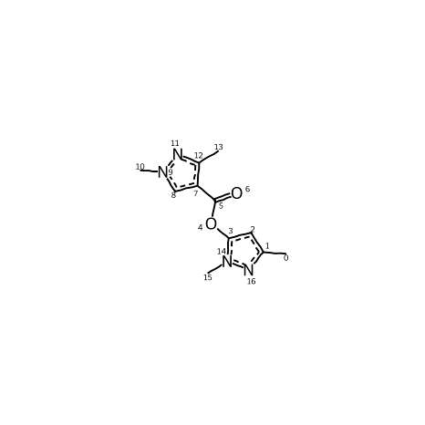 Cc1cc(OC(=O)c2cn(C)nc2C)n(C)n1